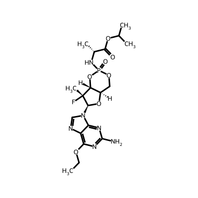 CCOc1nc(N)nc2c1ncn2[C@@H]1O[C@@H]2COP(=O)(N[C@H](C)C(=O)OC(C)C)O[C@H]2[C@@]1(C)F